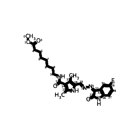 COC(=O)CCCCCCCNC(=O)c1c(C)[nH]c(/C=N/N=C2\C(=O)Nc3ccc(F)cc32)c1C